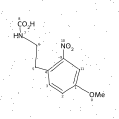 COc1ccc(CCNC(=O)O)c([N+](=O)[O-])c1